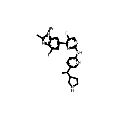 Cc1nc2c(F)cc(-c3nc(Nc4ccc(C(C)C5CCNC5)cn4)ncc3F)cc2n1C(C)C